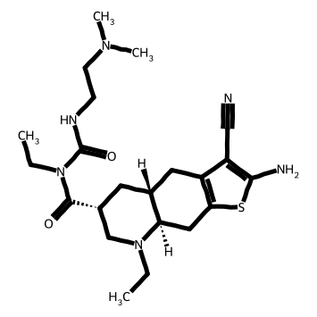 CCN(C(=O)NCCN(C)C)C(=O)[C@@H]1C[C@@H]2Cc3c(sc(N)c3C#N)C[C@H]2N(CC)C1